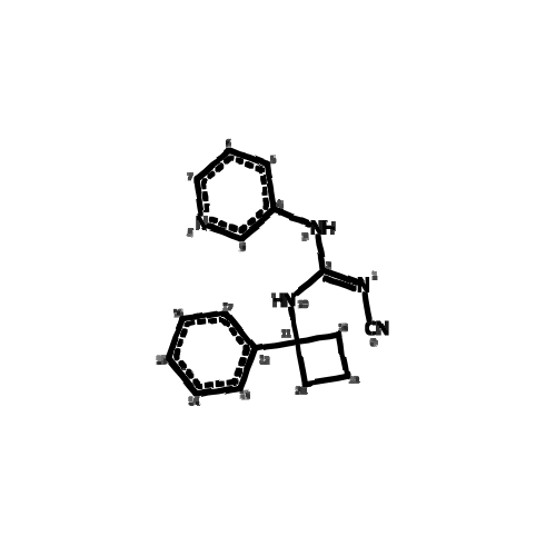 N#CN=C(Nc1cccnc1)NC1(c2ccccc2)CCC1